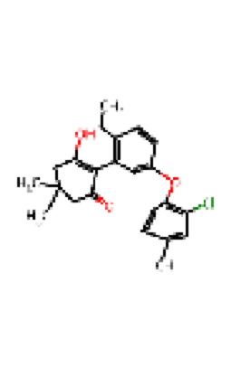 CCc1ccc(Oc2ccc(C)cc2Cl)cc1C1=C(O)CC(C)(C)CC1=O